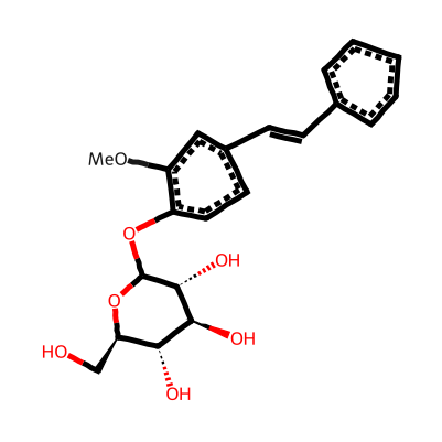 COc1cc(C=Cc2ccccc2)ccc1OC1O[C@H](CO)[C@@H](O)[C@H](O)[C@H]1O